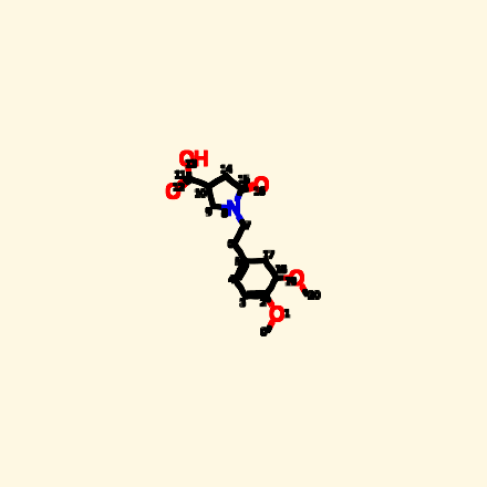 COC1=CC=C(CCN2CC(C(=O)O)CC2=O)CC1OC